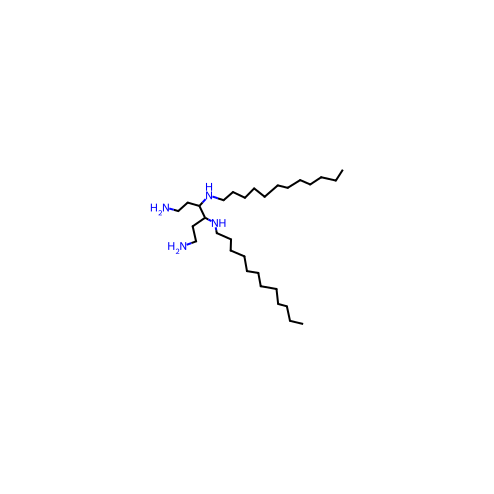 CCCCCCCCCCCCNC(CCN)C(CCN)NCCCCCCCCCCCC